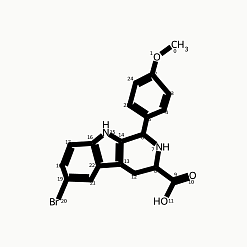 COc1ccc(C2NC(C(=O)O)Cc3c2[nH]c2ccc(Br)cc32)cc1